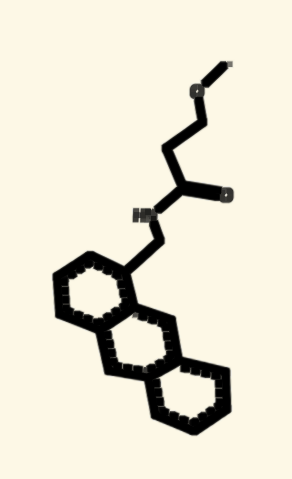 [CH2]OCCC(=O)NCc1cccc2cc3ccccc3cc12